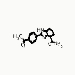 CC(=O)c1ccc(-c2nc3c(C(N)=O)cccc3[nH]2)cc1